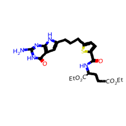 CCOC(=O)CC[C@H](NC(=O)c1ccc(CCCc2cc3c(=O)[nH]c(N)nc3[nH]2)s1)C(=O)OCC